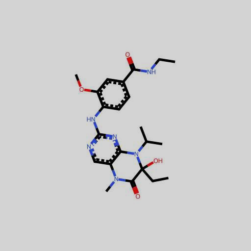 CCNC(=O)c1ccc(Nc2ncc3c(n2)N(C(C)C)C(O)(CC)C(=O)N3C)c(OC)c1